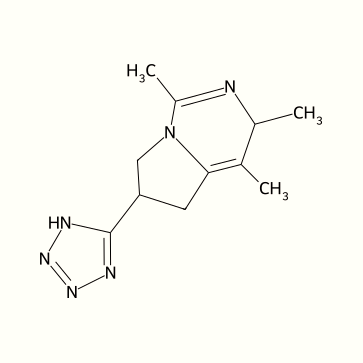 CC1=NC(C)C(C)=C2CC(c3nnn[nH]3)CN12